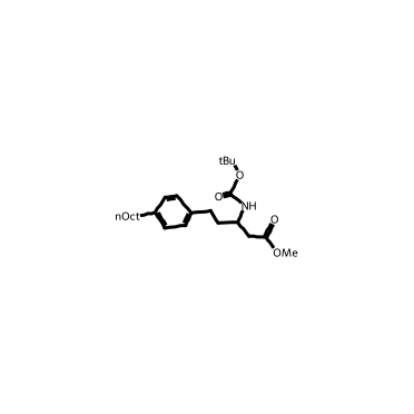 CCCCCCCCc1ccc(CCC(CC(=O)OC)NC(=O)OC(C)(C)C)cc1